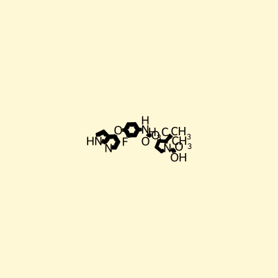 CC(C)(C)C1C(OC(=O)Nc2ccc(Oc3ccnc4[nH]ccc34)c(F)c2)CCN1C(=O)O